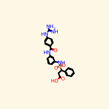 N=C(N)Nc1ccc(C(=O)Nc2cccc(NS(=O)(=O)C(CC(=O)O)c3ccccc3)c2)cc1